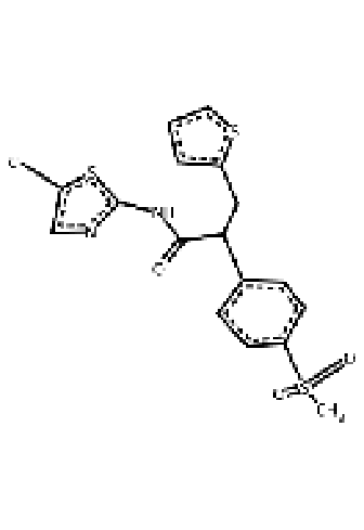 CS(=O)(=O)c1ccc(C(Cc2cccs2)C(=O)Nc2ncc(Cl)s2)cc1